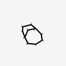 [CH]1CCCC2CCCC1C2